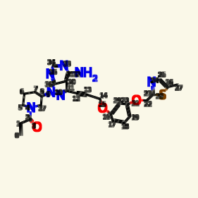 C=CC(=O)N1CCC[C@@H](n2nc(C#CCOc3cccc(OCc4ncc(C)s4)c3)c3c(N)ncnc32)C1